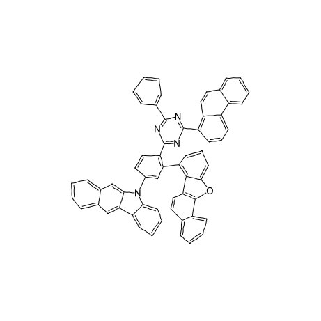 c1ccc(-c2nc(-c3ccc(-n4c5ccccc5c5cc6ccccc6cc54)cc3-c3cccc4oc5c6ccccc6ccc5c34)nc(-c3cccc4c3ccc3ccccc34)n2)cc1